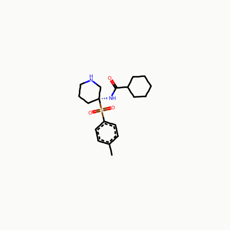 Cc1ccc(S(=O)(=O)[C@@]2(NC(=O)C3CCCCC3)CCCNC2)cc1